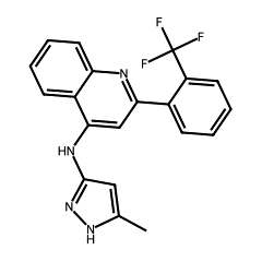 Cc1cc(Nc2cc(-c3ccccc3C(F)(F)F)nc3ccccc23)n[nH]1